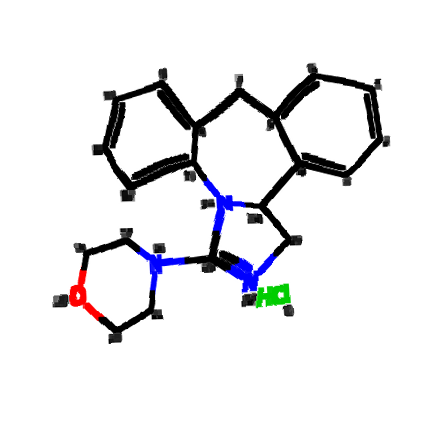 Cl.c1ccc2c(c1)Cc1ccccc1N1C(N3CCOCC3)=NCC21